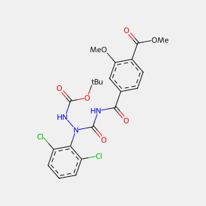 COC(=O)c1ccc(C(=O)NC(=O)N(NC(=O)OC(C)(C)C)c2c(Cl)cccc2Cl)cc1OC